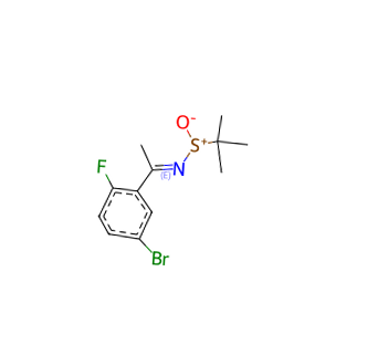 C/C(=N\[S+]([O-])C(C)(C)C)c1cc(Br)ccc1F